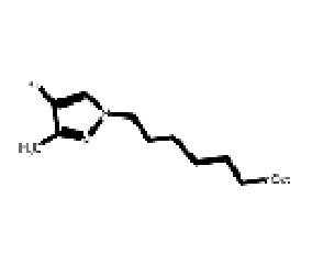 CCCCCCCCCCCCCCn1cc(Br)c(C)n1